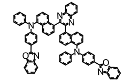 c1ccc(N(c2ccc(-c3nc4ccccc4o3)cc2)c2cccc3c(-c4nc5ccccc5nc4-c4cccc5c(N(c6ccccc6)c6ccc(-c7nc8ccccc8o7)cc6)cccc45)cccc23)cc1